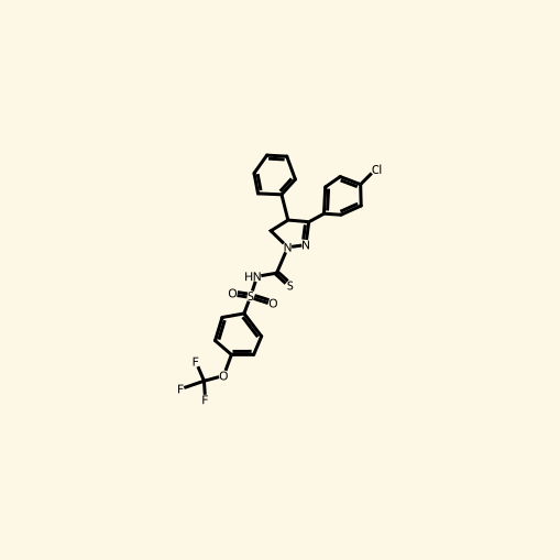 O=S(=O)(NC(=S)N1CC(c2ccccc2)C(c2ccc(Cl)cc2)=N1)c1ccc(OC(F)(F)F)cc1